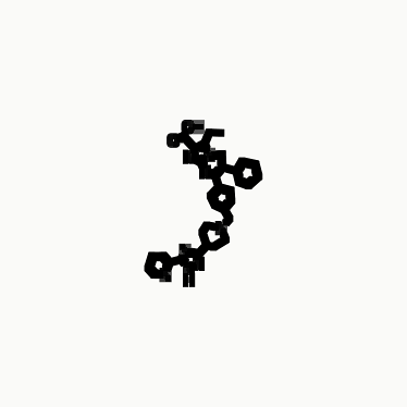 CCc1c(C(=O)O)nc2nc(-c3ccc(CN4CCC(c5n[nH]c(-c6ccccn6)n5)CC4)cc3)c(-c3ccccc3)cn12